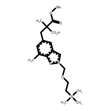 Cc1cc(CC(C)(C(=O)O)C(=O)OC(C)(C)C)cc2cn(COCC[Si](C)(C)C)nc12